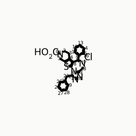 O=C(O)N1CCc2c(sc3c2C(c2ccccc2Cl)=NCc2nnc(Cc4ccccc4)n2-3)C1